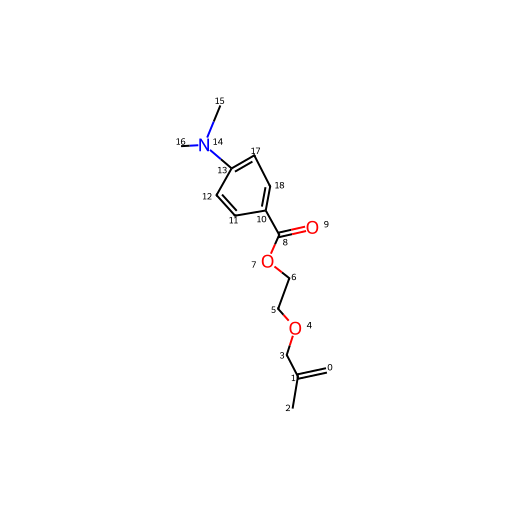 C=C(C)COCCOC(=O)c1ccc(N(C)C)cc1